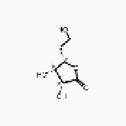 O=C1O[C@@H](CCO)[C@@H](O)[C@H]1O